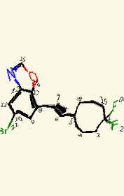 FC1(F)CCC(C=Cc2cc(Br)cc3ncoc23)CC1